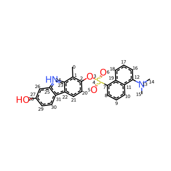 Cc1c(OS(=O)(=O)c2cccc3c(N(C)C)cccc23)ccc2c1[nH]c1cc(O)ccc12